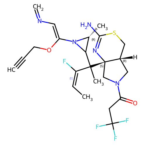 C#CCOC(=CN=C)N1C(C(C)(/C(F)=C\C)[C@]23CN(C(=O)CC(F)(F)F)C[C@H]2CSC(N)=N3)[C@H]1C